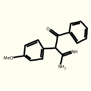 COc1ccc(C(C(=N)N)C(=O)c2ccccc2)cc1